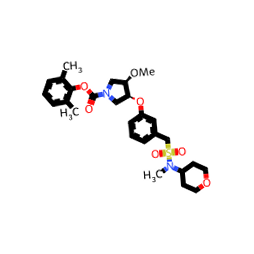 CO[C@@H]1CN(C(=O)Oc2c(C)cccc2C)C[C@H]1Oc1cccc(CS(=O)(=O)N(C)C2CCOCC2)c1